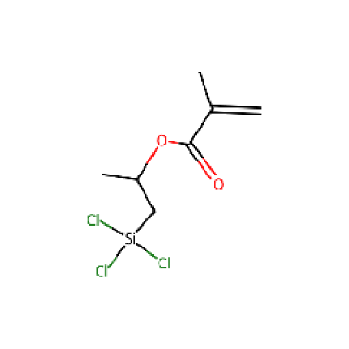 C=C(C)C(=O)OC(C)C[Si](Cl)(Cl)Cl